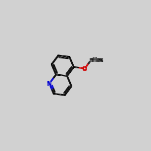 CCCCCCOc1cccc2ncccc12